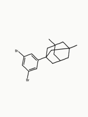 CC12CC3CC(C)(C1)CC(c1cc(Br)cc(Br)c1)(C3)C2